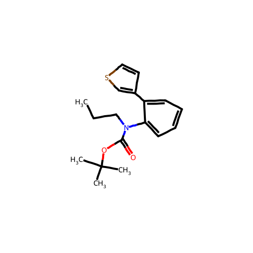 CCCN(C(=O)OC(C)(C)C)c1ccccc1-c1ccsc1